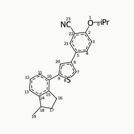 CC(C)Oc1ccc(-c2csc(-c3cccc4c3CCC4C)c2)cc1C#N